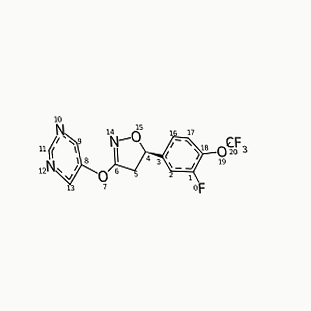 Fc1cc([C@H]2CC(Oc3cncnc3)=NO2)ccc1OC(F)(F)F